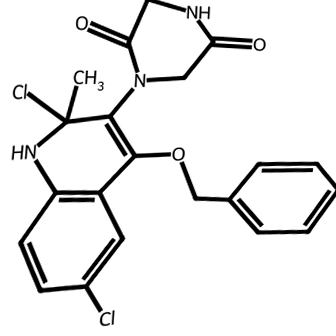 CC1(Cl)Nc2ccc(Cl)cc2C(OCc2ccccc2)=C1N1CC(=O)NCC1=O